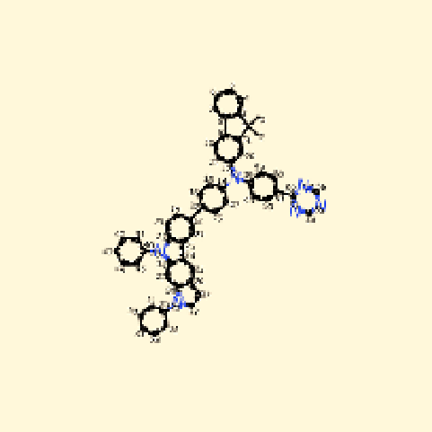 CC1(C)c2ccccc2-c2ccc(N(c3ccc(-c4ccc5c(c4)c4cc6ccn(-c7ccccc7)c6cc4n5-c4ccccc4)cc3)c3ccc(-c4ncncn4)cc3)cc21